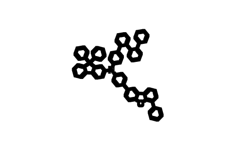 c1ccc(-c2ccccc2-c2ccccc2-c2ccc(N(c3ccc(-c4ccc5oc6c(-c7ccccc7)cccc6c5c4)cc3)c3ccc4c(c3)C(c3ccccc3)(c3ccccc3)c3ccccc3-4)cc2)cc1